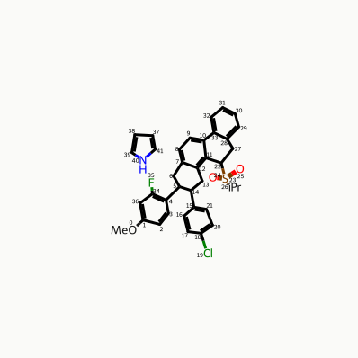 COc1ccc(C2Cc3ccc4c(c3CC2c2ccc(Cl)cc2)C(S(=O)(=O)C(C)C)Cc2ccccc2-4)c(F)c1.c1cc[nH]c1